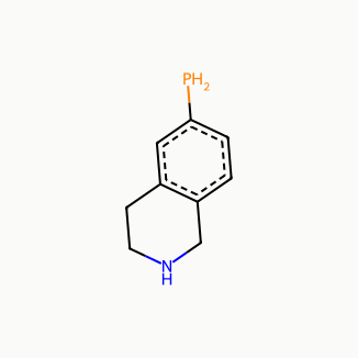 Pc1ccc2c(c1)CCNC2